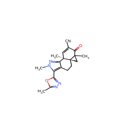 Cc1nnc(-c2c3c(nn2C)[C@@]2(C)C=C(C#N)C(=O)C4(C)C[C@]42CC3)o1